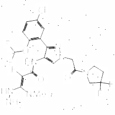 CN/C(NN)=C(/F)C(=O)Nc1cn(CC(=O)N2CCC(F)(F)C2)nc1-c1cc(Cl)ccc1OC(F)F